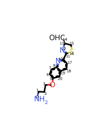 NCCCOc1ccc2nc(C3=N[C@@H](C=O)CS3)ccc2c1